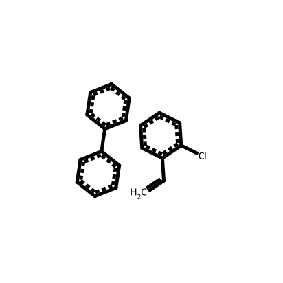 C=Cc1ccccc1Cl.c1ccc(-c2ccccc2)cc1